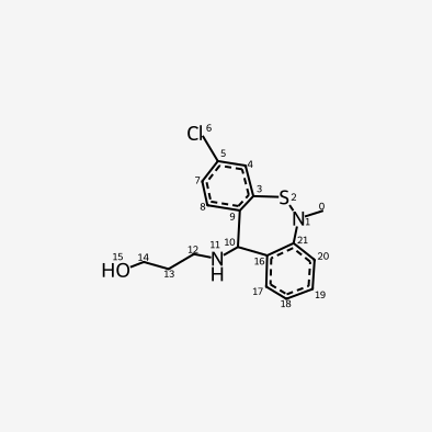 CN1Sc2cc(Cl)ccc2C(NCCCO)c2ccccc21